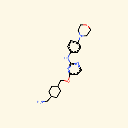 NCC1CCC(COc2ccnc(Nc3ccc(N4CCOCC4)cc3)n2)CC1